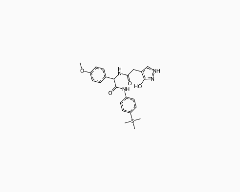 COc1ccc(C(NC(=O)Cc2c[nH]nc2O)C(=O)Nc2ccc(S(C)(C)C)cc2)cc1